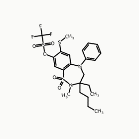 CCCCC1(CC)CN(c2ccccc2)c2cc(SC)c(OS(=O)(=O)C(F)(F)F)cc2S(=O)(=O)N1C